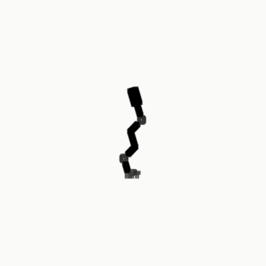 C#COCCOCCC